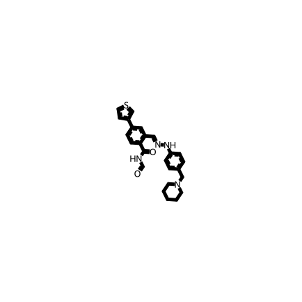 O=CNC(=O)c1ccc(-c2ccsc2)cc1/C=N/Nc1ccc(CN2CCCCC2)cc1